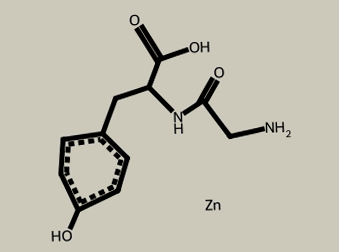 NCC(=O)NC(Cc1ccc(O)cc1)C(=O)O.[Zn]